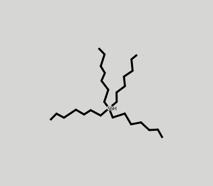 CCCCCC[CH2][SbH]([CH2]CCCCCC)([CH2]CCCCCC)[CH2]CCCCCC